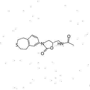 CC(=O)NCC1CN(c2ccc3c(c2)CCSCC3)C(=O)O1